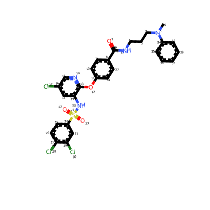 CN(CCCNC(=O)c1ccc(Oc2ncc(Cl)cc2NS(=O)(=O)c2ccc(Cl)c(Cl)c2)cc1)c1ccccc1